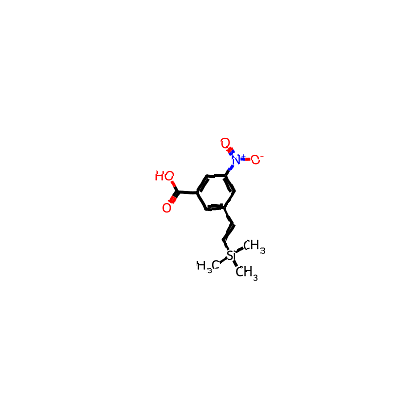 C[Si](C)(C)C=Cc1cc(C(=O)O)cc([N+](=O)[O-])c1